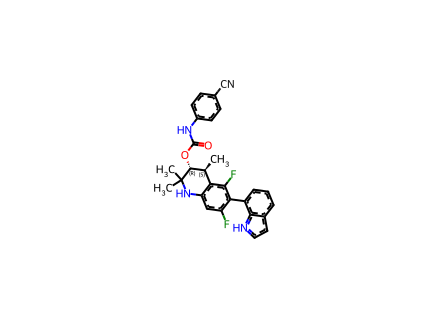 C[C@H]1c2c(cc(F)c(-c3cccc4cc[nH]c34)c2F)NC(C)(C)[C@@H]1OC(=O)Nc1ccc(C#N)cc1